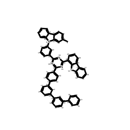 Cc1ccc2c3ccccc3n(-c3cccc(-c4nc(-c5ccc(-c6cccc(-c7cccc(-c8ccccc8)c7)c6)cc5)nc(-c5cccc6c5sc5ccccc56)n4)c3)c2c1